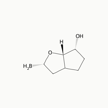 B[C@H]1CC2CC[C@@H](O)[C@H]2O1